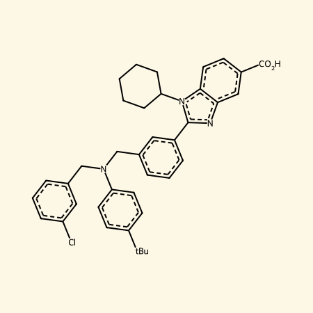 CC(C)(C)c1ccc(N(Cc2cccc(Cl)c2)Cc2cccc(-c3nc4cc(C(=O)O)ccc4n3C3CCCCC3)c2)cc1